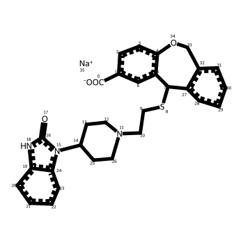 O=C([O-])c1ccc2c(c1)C(SCCN1CCC(n3c(=O)[nH]c4ccccc43)CC1)c1ccccc1CO2.[Na+]